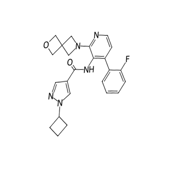 O=C(Nc1c(-c2ccccc2F)ccnc1N1CC2(COC2)C1)c1cnn(C2CCC2)c1